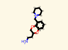 NCCC1COc2c(CN3CCCCC3)cccc2O1